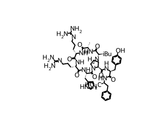 CC[C@H](C)[C@H](N)C(=O)N[C@@H](C)C(=O)N[C@@H](CCCN=C(N)N)C(=O)N[C@@H](CCCN=C(N)N)C(=O)N[C@@H](Cc1cnc[nH]1)C(=O)N1CCC[C@H]1C(=O)N[C@@H](Cc1ccc(O)cc1)C(=O)N[C@@H](Cc1ccccc1)C(=O)O